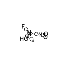 O=C(O)[C@@H]1CC2CC2C[C@H]1c1nn(-c2ccc(F)cc2)cc1-c1ccc(N2CCS(=O)(=O)CC2)cc1